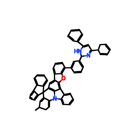 CC1C=C2C(=CC1)n1c3ccccc3c3c4oc5c(-c6cccc(C7N=C(C8C=CC=CC8)C=C(c8ccccc8)N7)c6)cccc5c4cc(c31)C21c2ccccc2-c2ccccc21